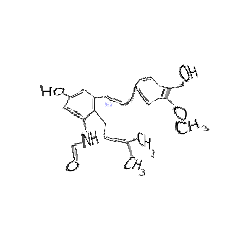 COc1cc(/C=C/c2cc(O)cc(NC=O)c2CC=C(C)C)ccc1O